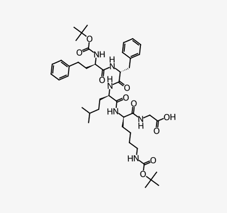 CC(C)CC[C@@H](NC(=O)[C@@H](Cc1ccccc1)NC(=O)[C@@H](CCc1ccccc1)NC(=O)OC(C)(C)C)C(=O)N[C@H](CCCCNC(=O)OC(C)(C)C)C(=O)NCC(=O)O